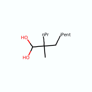 CCCC(C)CC(C)(CCC)C(O)O